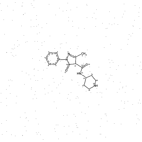 CC1=NN(c2ccccc2)C(=O)C1C(=O)NC1CCNCC1